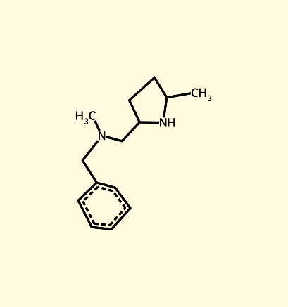 CC1CCC(CN(C)Cc2ccccc2)N1